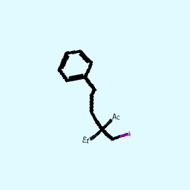 CCC(CI)(CCc1ccccc1)C(C)=O